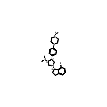 CC(=O)N1CCN(c2ccc([C@@H]3CN([C@H]4CCc5cccc(F)c54)C[C@H]3N(C)C)cc2)CC1